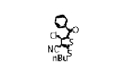 CCCCSc1sc(C(=O)c2ccccc2)c(Cl)c1C#N